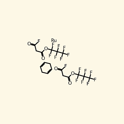 C1=CCC=CC1.O=C(F)CC(=O)OC(F)(F)C(F)(F)C(F)(F)F.O=C(F)CC(=O)OC(F)(F)C(F)(F)C(F)(F)F.[Ru]